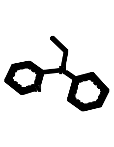 CCN(c1ccccc1)c1ccccn1